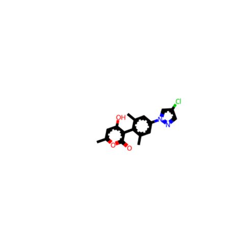 Cc1cc(O)c(-c2c(C)cc(-n3cc(Cl)cn3)cc2C)c(=O)o1